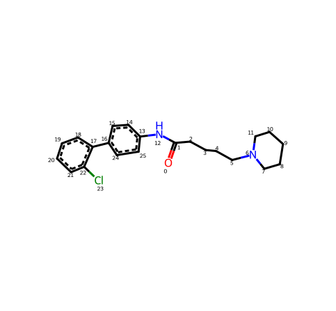 O=C(CCCCN1CCCCC1)Nc1ccc(-c2ccccc2Cl)cc1